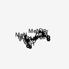 CN[C@@H](C)C(=O)N[C@H](C(=O)N1C[C@@H](OCCC(=O)N2CCN(C(=O)CCO[C@H]3C[C@@H](C(=O)N[C@@H]4CCCc5ccccc54)N(C(=O)[C@@H](NC(O)[C@H](C)NC)C(C)C)C3)CC2)C[C@H]1C(=O)N[C@@H]1CCCc2ccccc21)C(C)C